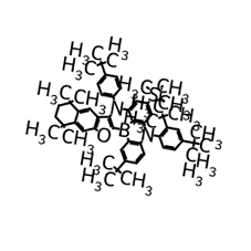 CC(C)(C)c1ccc(N2c3cc([Si](C)(C)C)cc4c3B(c3cc(C(C)(C)C)ccc3N4c3ccc(C(C)(C)C)cc3C(C)(C)C)c3oc4cc5c(cc4c32)C(C)(C)CCC5(C)C)cc1